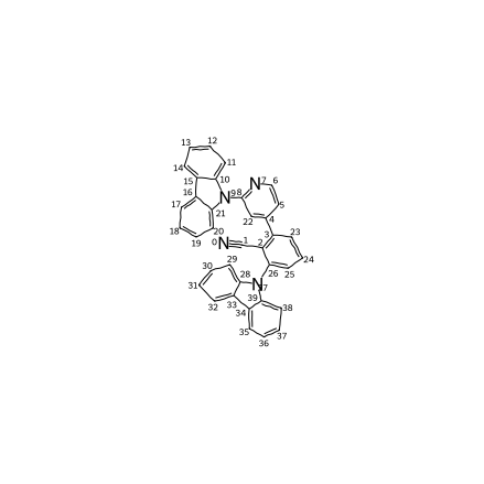 N#Cc1c(-c2ccnc(-n3c4ccccc4c4ccccc43)c2)cccc1-n1c2ccccc2c2ccccc21